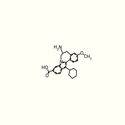 COc1ccc2c(c1)CC(N)Cn1c-2c(C2CCCCC2)c2ccc(C(=O)O)cc21